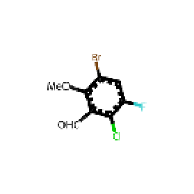 COc1c(Br)cc(F)c(Cl)c1C=O